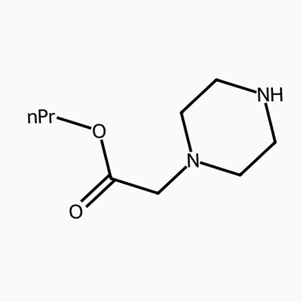 CCCOC(=O)CN1CCNCC1